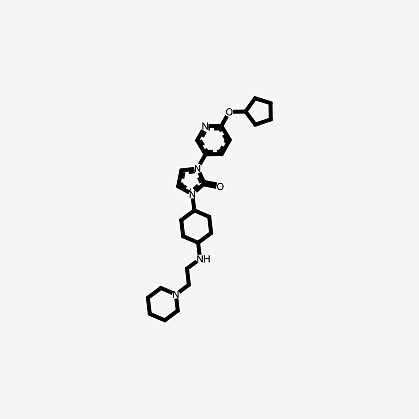 O=c1n(-c2ccc(OC3CCCC3)nc2)ccn1C1CCC(NCCN2CCCCC2)CC1